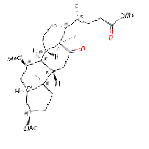 COC(=O)CC[C@@H](C)[C@H]1CC[C@H]2[C@@H]3[C@H](OC)C[C@@H]4C[C@H](OC(C)=O)CC[C@]4(C)[C@H]3CC(=O)[C@]12C